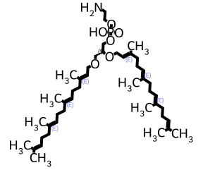 CC(C)=CCC/C(C)=C/CC/C(C)=C/CC/C(C)=C/COC[C@@H](COP(=O)(O)OCCN)OC/C=C(\C)CC/C=C(\C)CC/C=C(\C)CCC=C(C)C